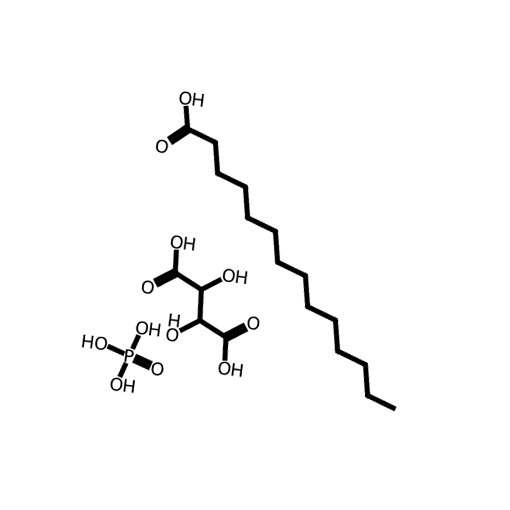 CCCCCCCCCCCCCC(=O)O.O=C(O)C(O)C(O)C(=O)O.O=P(O)(O)O